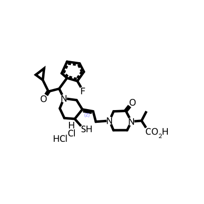 CC(C(=O)O)N1CCN(C/C=C2/CN(C(C(=O)C3CC3)c3ccccc3F)CCC2S)CC1=O.Cl.Cl